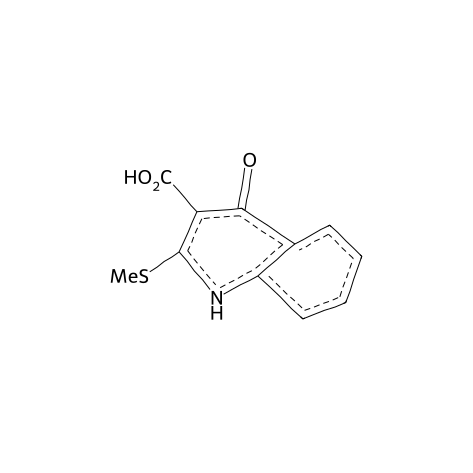 CSc1[nH]c2ccccc2c(=O)c1C(=O)O